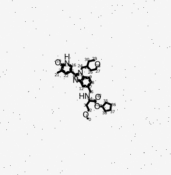 COCCC(NCc1ccc2c(c1)nc(-c1c[nH]c(=O)c(C)c1)n2CC1CCOCC1)C(=O)OC1CCCC1